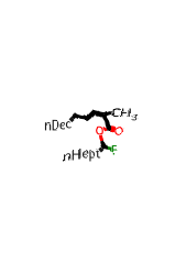 CCCCCCCCCCCCC=C(C)C(=O)OC(F)CCCCCCC